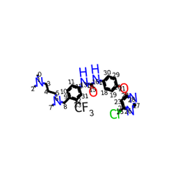 CN(C)CCCN(C)Cc1ccc(NC(=O)Nc2ccc(Oc3cc(Cl)ncn3)cc2)cc1C(F)(F)F